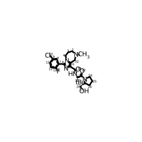 CN1CCCn2c(-c3cc(Cl)ccc3F)nc(C(=O)N[C@H](C(=O)N3CCC[C@H]3CO)C(C)(C)C)c2C1